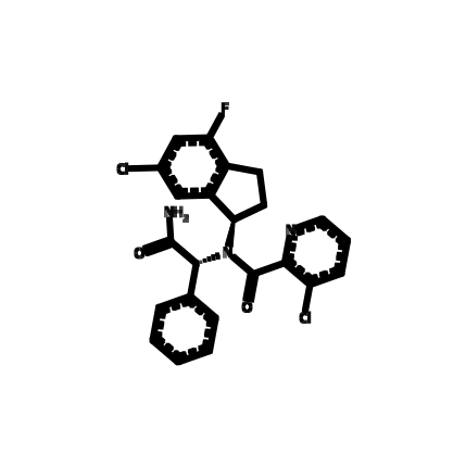 NC(=O)[C@@H](c1ccccc1)N(C(=O)c1ncccc1Cl)[C@@H]1CCc2c(F)cc(Cl)cc21